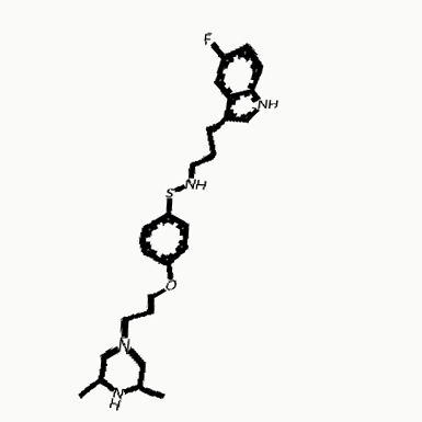 CC1CN(CCCOc2ccc(SNCCCc3c[nH]c4ccc(F)cc34)cc2)CC(C)N1